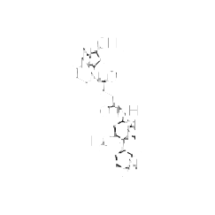 Cc1cc2n(n1)CCCN2C(=O)CCC(=O)Nc1cc(C)c(-c2cccnc2)nn1